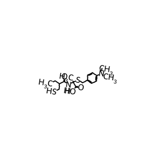 CCC(CS)C(=O)NC(C)(SCc1ccc(N(C)C)cc1)C(=O)O